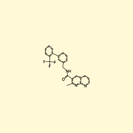 Cc1nc2ncccc2cc1C(=O)NCc1cccc(-c2ccccc2C(F)(F)F)c1